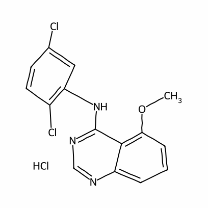 COc1cccc2ncnc(Nc3cc(Cl)ccc3Cl)c12.Cl